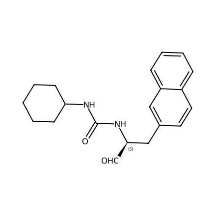 O=C[C@H](Cc1ccc2ccccc2c1)NC(=O)NC1CCCCC1